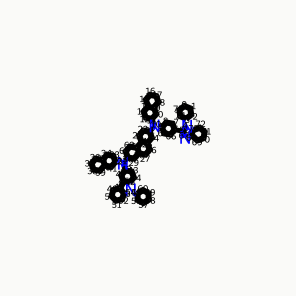 c1ccc(-n2c(-c3ccc(N(c4ccc5ccccc5c4)c4ccc5c(ccc6cc(N(c7ccc8ccccc8c7)c7ccc8c(c7)c7ccccc7n8-c7ccccc7)ccc65)c4)cc3)nc3ccccc32)cc1